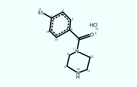 CCc1ccc(C(=O)N2CCNCC2)cc1.Cl